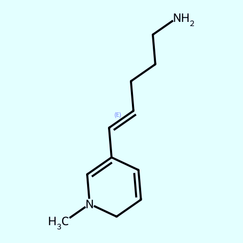 CN1C=C(/C=C/CCCN)C=CC1